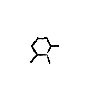 CC1CCCC(C)N1C